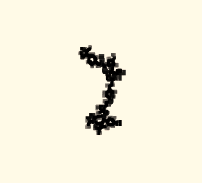 Cc1ncsc1-c1ccc(CNC(=O)[C@@H]2C[C@@H](C)CN2C(=O)[C@@H](NC(=O)CCc2ccc(OCCNC(=O)C[C@@H]3N=C(c4ccc(Cl)cc4)c4c(sc(C)c4C)-n4c(C)nnc43)nc2)C(C)(C)C)cc1